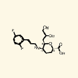 O=C(O)[C@@H]1CC[C@@H](NCC=Cc2cc(F)ccc2F)[C@@H](CC(O)CO)O1